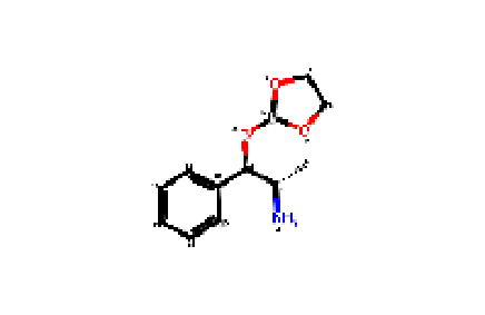 C[C@H](N)[C@H](OB1OCCO1)c1ccccc1